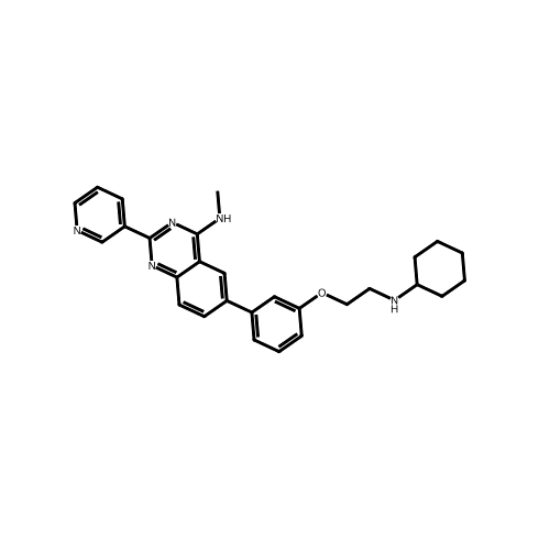 CNc1nc(-c2cccnc2)nc2ccc(-c3cccc(OCCNC4CCCCC4)c3)cc12